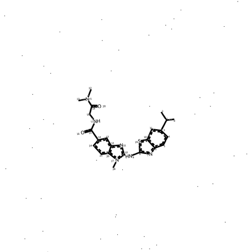 CC(C)c1ccc2nc(Nc3nc4cc(C(=O)NCC(=O)N(C)C)ccc4n3C)sc2c1